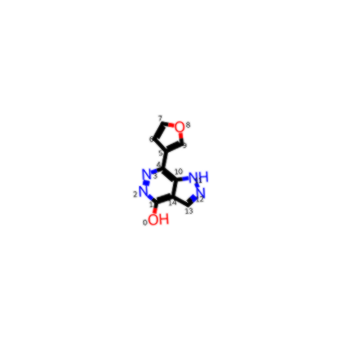 Oc1nnc(-c2ccoc2)c2[nH]ncc12